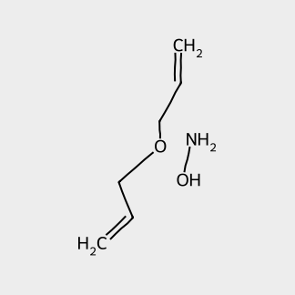 C=CCOCC=C.NO